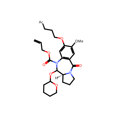 C=CCOC(=O)N1c2cc(OCCCC(C)=O)c(OC)cc2C(=O)N2CCC[C@H]2C1OC1CCCCO1